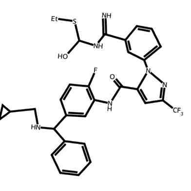 CCSC(O)NC(=N)c1cccc(-n2nc(C(F)(F)F)cc2C(=O)Nc2cc(C(NCC3CC3)c3ccccc3)ccc2F)c1